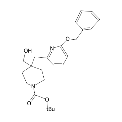 CC(C)(C)OC(=O)N1CCC(CO)(Cc2cccc(OCc3ccccc3)n2)CC1